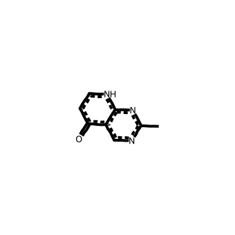 Cc1ncc2c(=O)cc[nH]c2n1